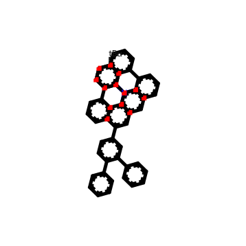 CC(C)(C)c1ccc(-c2ccccc2)c(N(c2ccc(-c3ccc(-c4ccccc4)c(-c4ccccc4)c3)cc2)c2ccccc2-c2cccc3cccc(-c4ccccc4)c23)c1